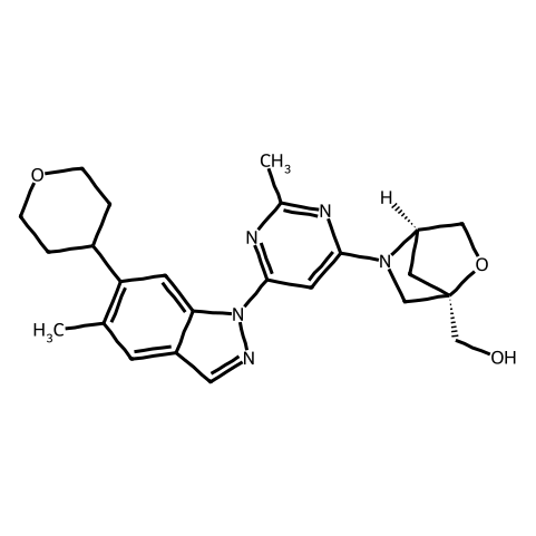 Cc1nc(N2C[C@@]3(CO)C[C@@H]2CO3)cc(-n2ncc3cc(C)c(C4CCOCC4)cc32)n1